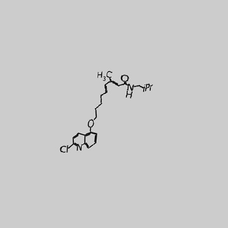 CC(C=CCCCCOc1cccc2nc(Cl)ccc12)=CC(=O)NCC(C)C